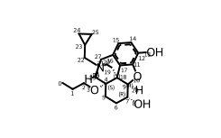 CCCO[C@@]12CC[C@@H](O)[C@@H]3Oc4c(O)ccc5c4[C@@]31CCN(CC1CC1)[C@@H]2C5